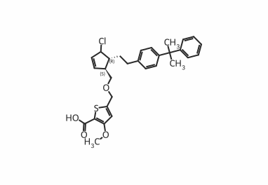 COc1cc(COC[C@H]2C=CC(Cl)[C@@H]2CCc2ccc(C(C)(C)c3ccccc3)cc2)sc1C(=O)O